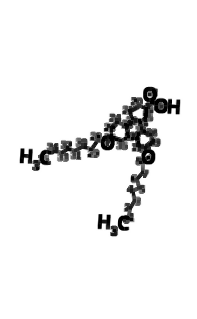 CCCCCCCCCOc1ccc(-c2cc(C(=O)O)ccc2-c2ccc(OCCCCCCCC)cc2)cc1